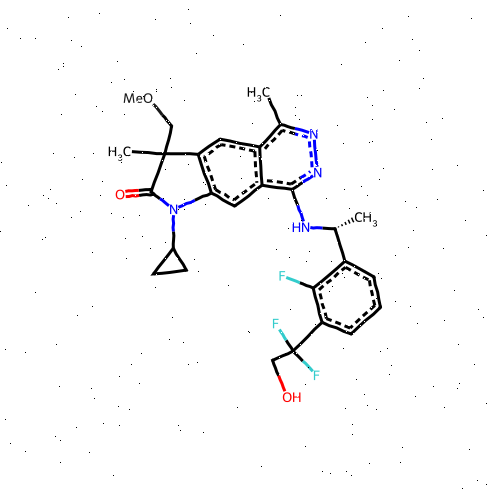 COCC1(C)C(=O)N(C2CC2)c2cc3c(N[C@H](C)c4cccc(C(F)(F)CO)c4F)nnc(C)c3cc21